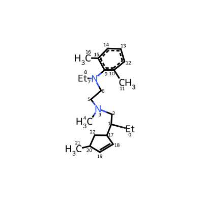 CCC(CN(C)CCN(CC)c1c(C)cccc1C)C1C=CC(C)C1